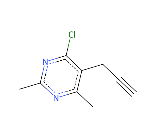 C#CCc1c(C)nc(C)nc1Cl